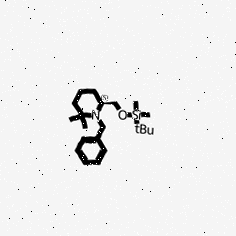 CC1(C)CCC[C@@H](CO[Si](C)(C)C(C)(C)C)N1Cc1ccccc1